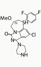 CO[C@H]1Cn2c(=O)nc(N3CCNCC3)c3cc(Cl)cc(c32)[SH](c2ccc(F)cc2F)C1